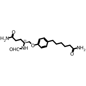 NC(=O)CCCCCc1ccc(OC[C@H](CCC(N)=O)NC=O)cc1